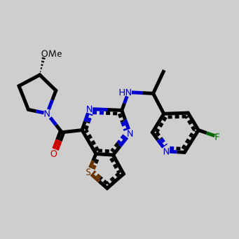 CO[C@H]1CCN(C(=O)c2nc(NC(C)c3cncc(F)c3)nc3ccsc23)C1